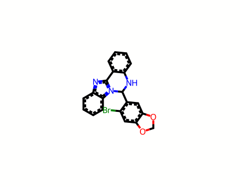 Brc1cc2c(cc1C1Nc3ccccc3-c3nc4ccccc4n31)OCO2